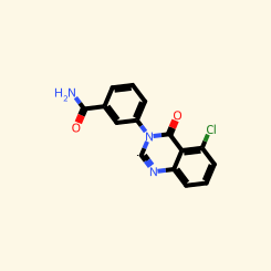 NC(=O)c1cccc(-n2[c]nc3cccc(Cl)c3c2=O)c1